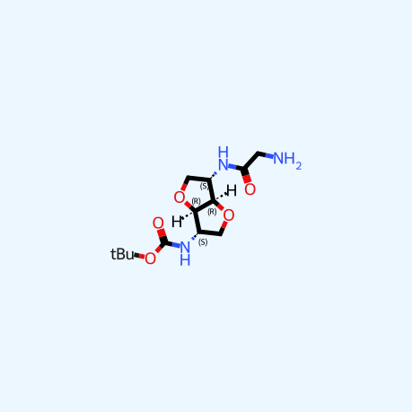 CC(C)(C)OC(=O)N[C@H]1CO[C@H]2[C@@H]1OC[C@@H]2NC(=O)CN